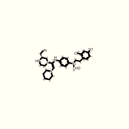 CC(C)C[C@H]1CN(/C(=C\N2CCCCC2)Nc2ccc(N(C=O)CCc3ccc(Cl)cc3Cl)cc2)CCN1